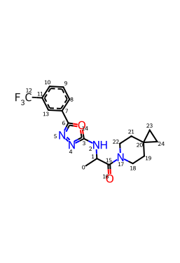 CC(Nc1nnc(-c2cccc(C(F)(F)F)c2)o1)C(=O)N1CCC2(CC1)CC2